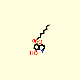 CCCCCCCCS(=O)(=O)c1ccc(O)c2ncccc12